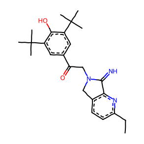 CCc1ccc2c(n1)C(=N)N(CC(=O)c1cc(C(C)(C)C)c(O)c(C(C)(C)C)c1)C2